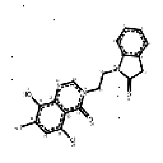 O=C1Cc2ccccc2N1CCn1cnc2c(O)c(I)cc(Cl)c2c1=O